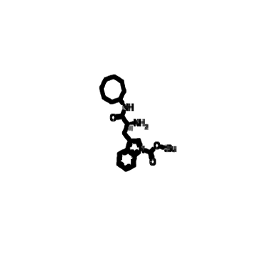 CC(C)(C)OC(=O)n1cc(C[C@H](N)C(=O)NC2CCCCCCC2)c2ccccc21